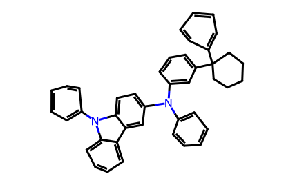 c1ccc(N(c2cccc(C3(c4ccccc4)CCCCC3)c2)c2ccc3c(c2)c2ccccc2n3-c2ccccc2)cc1